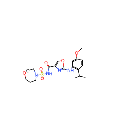 COc1ccc(C(C)C)c(Nc2nc(C(=O)NS(=O)(=O)N3CCCOCC3)co2)c1